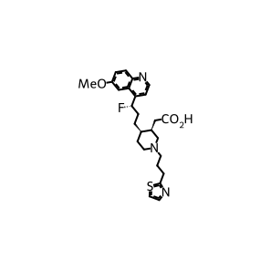 COc1ccc2nccc([C@@H](F)CC[C@@H]3CCN(CCCc4nccs4)C[C@@H]3CC(=O)O)c2c1